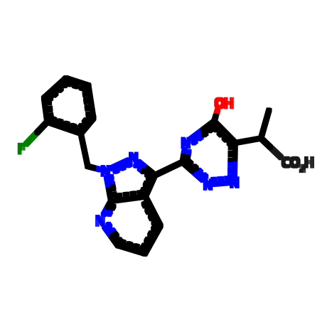 CC(C(=O)O)c1nnc(-c2nn(Cc3ccccc3F)c3ncccc23)nc1O